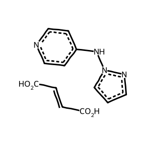 O=C(O)C=CC(=O)O.c1cnn(Nc2ccncc2)c1